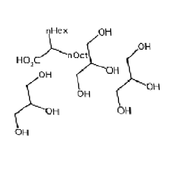 CCCCCCCCC(CCCCCC)C(=O)O.OCC(O)CO.OCC(O)CO.OCC(O)CO